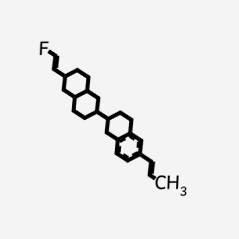 CC=Cc1ccc2c(c1)CCC(C1CCC3CC(C=CF)CCC3C1)C2